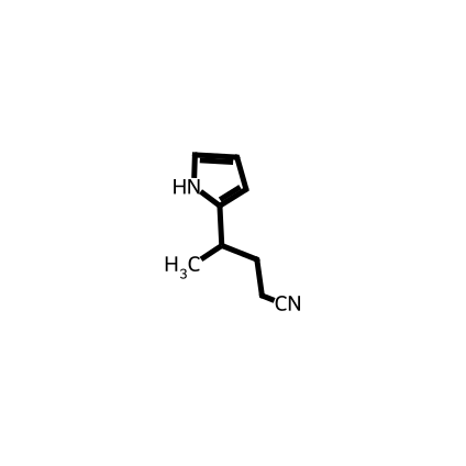 CC(CCC#N)c1ccc[nH]1